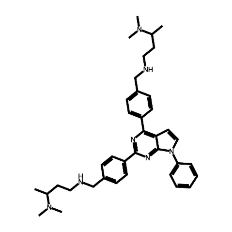 CC(CCNCc1ccc(-c2nc(-c3ccc(CNCCC(C)N(C)C)cc3)c3ccn(-c4ccccc4)c3n2)cc1)N(C)C